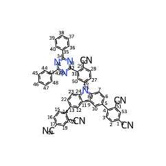 N#Cc1ccc(-c2ccc3c(c2)c2cc(-c4ccc(C#N)cc4C#N)ccc2n3-c2ccc(C#N)c(-c3nc(-c4ccccc4)nc(-c4ccccc4)n3)c2)c(C#N)c1